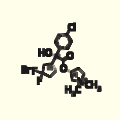 C[N+]1(C)CC[C@@H](OC(=O)[C@](O)(c2ccc(Cl)cc2)[C@@H]2CCC(F)(F)C2)C1.[Br-]